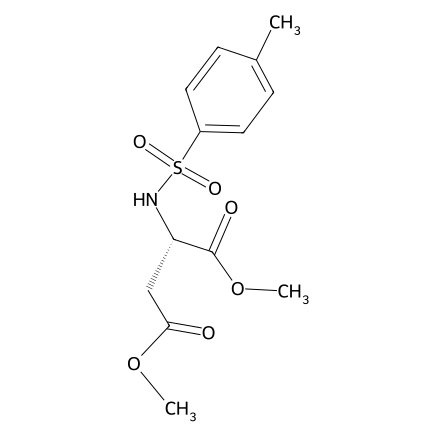 COC(=O)C[C@H](NS(=O)(=O)c1ccc(C)cc1)C(=O)OC